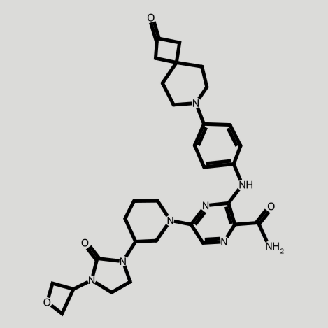 NC(=O)c1ncc(N2CCCC(N3CCN(C4COC4)C3=O)C2)nc1Nc1ccc(N2CCC3(CC2)CC(=O)C3)cc1